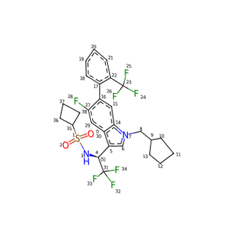 O=S(=O)(N[C@@H](c1cn(CC2CCCC2)c2cc(-c3ccccc3C(F)(F)F)c(F)cc12)C(F)(F)F)C1CCC1